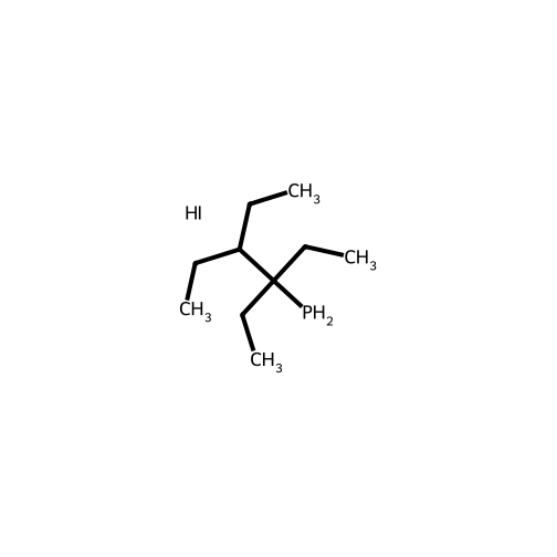 CCC(CC)C(P)(CC)CC.I